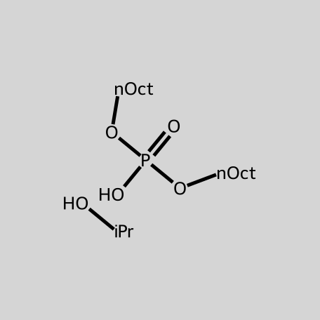 CC(C)O.CCCCCCCCOP(=O)(O)OCCCCCCCC